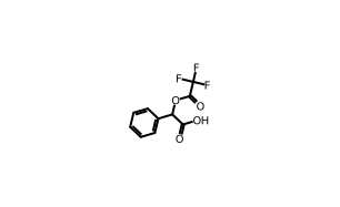 O=C(O)C(OC(=O)C(F)(F)F)c1ccccc1